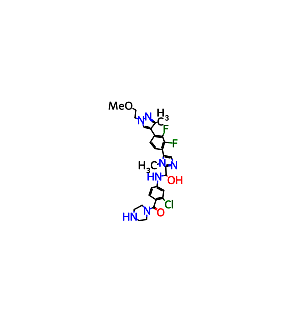 COCCn1cc(-c2ccc(-c3cnc(C(O)Nc4ccc(C(=O)N5CCNCC5)c(Cl)c4)n3C)c(F)c2F)c(C)n1